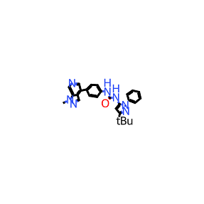 Cn1ncc2c(-c3ccc(NC(=O)Nc4cc(C(C)(C)C)nn4-c4ccccc4)cc3)cncc21